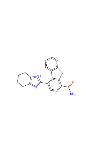 NC(=O)c1ccc(-c2nc3c([nH]2)CCCC3)c2c1[CH]c1ccccc1-2